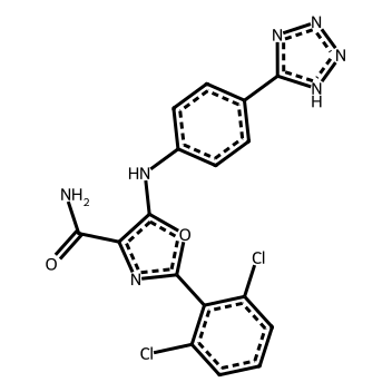 NC(=O)c1nc(-c2c(Cl)cccc2Cl)oc1Nc1ccc(-c2nnn[nH]2)cc1